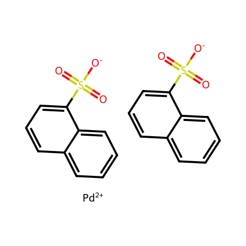 O=S(=O)([O-])c1cccc2ccccc12.O=S(=O)([O-])c1cccc2ccccc12.[Pd+2]